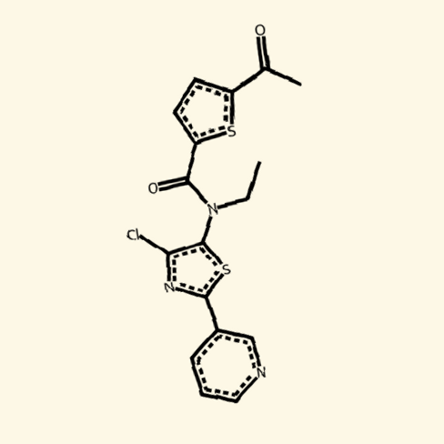 CCN(C(=O)c1ccc(C(C)=O)s1)c1sc(-c2cccnc2)nc1Cl